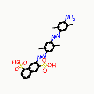 Cc1cc(N=Nc2cc(C)c(N=Nc3cc4c(S(=O)(=O)O)cccc4cc3S(=O)(=O)O)cc2C)c(C)cc1N